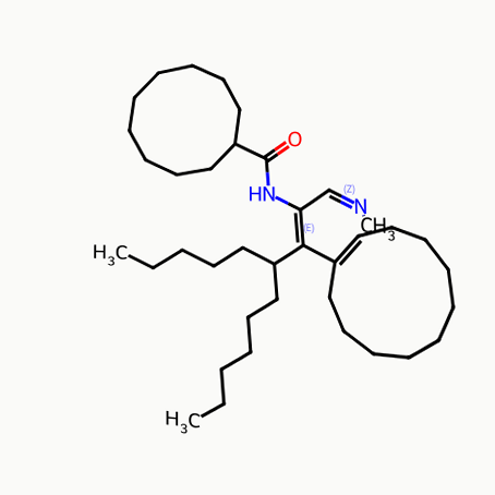 CCCCCCC(CCCCC)/C(C1=CCCCCCCCCC1)=C(/C=N\C)NC(=O)C1CCCCCCCCC1